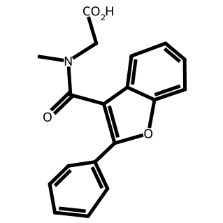 CN(CC(=O)O)C(=O)c1c(-c2ccccc2)oc2ccccc12